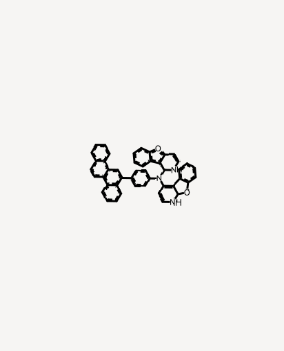 C1=CC(N(c2ccc(-c3cc4c5ccccc5ccc4c4ccccc34)cc2)C2NC=Cc3oc4ccccc4c32)=C2c3ccccc3OC2N1